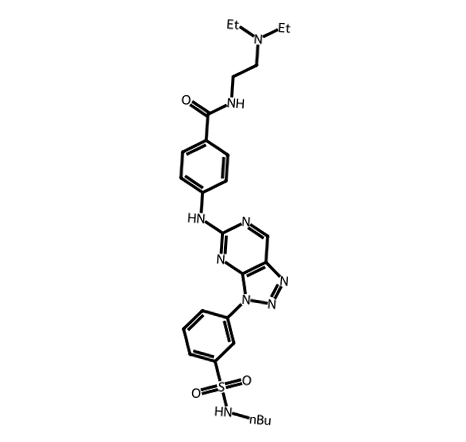 CCCCNS(=O)(=O)c1cccc(-n2nnc3cnc(Nc4ccc(C(=O)NCCN(CC)CC)cc4)nc32)c1